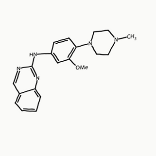 COc1cc(Nc2ncc3ccccc3n2)ccc1N1CCN(C)CC1